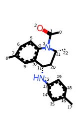 CC(=O)N1c2ccc(C)cc2[C@@H](Nc2ccc(C)cc2)C[C@H]1C